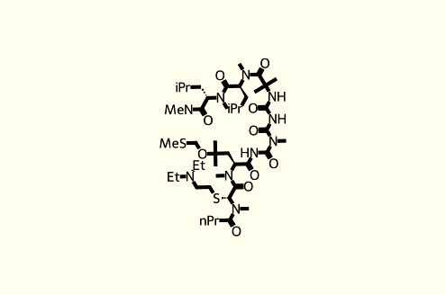 CCCC(=O)N(C)[C@H](SCCN(CC)CC)C(=O)N(C)[C@@H](CC(C)(C)OCSC)C(=O)NC(=O)N(C)C(=O)NC(=O)NC(C)(C)C(=O)N(C)[C@@H](CC(C)C)C(=O)N(C)[C@@H](CC(C)C)C(=O)NC